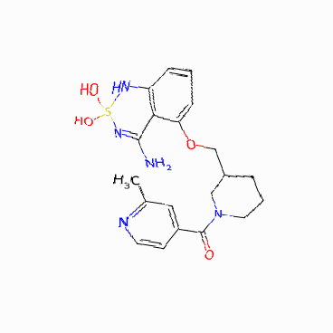 Cc1cc(C(=O)N2CCCC(COc3cccc4c3C(N)=NS(O)(O)N4)C2)ccn1